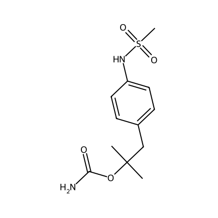 CC(C)(Cc1ccc(NS(C)(=O)=O)cc1)OC(N)=O